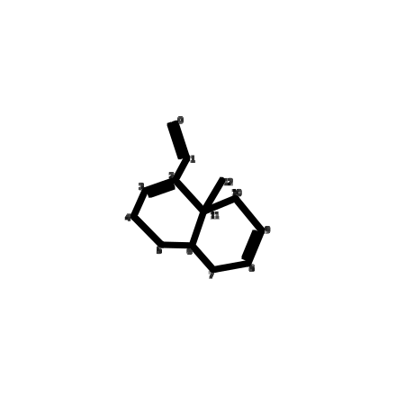 C=CC1=CCCC2CC=CCC12C